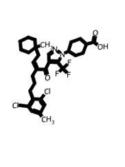 Cc1cc(Cl)c(CCC/C(=C/CC2(C)CCCCC2)C(=O)c2cnn(C3CCC(C(=O)O)CC3)c2C(F)(F)F)c(Cl)c1